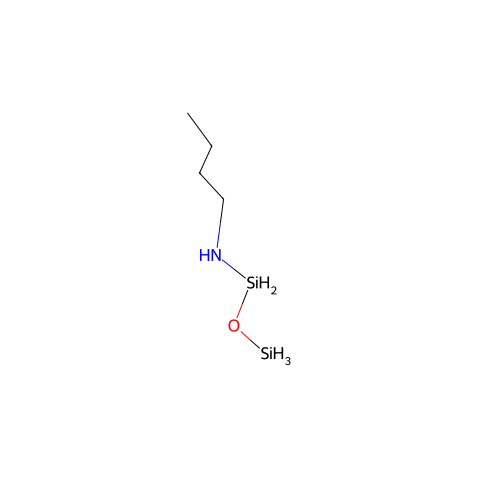 CCCCN[SiH2]O[SiH3]